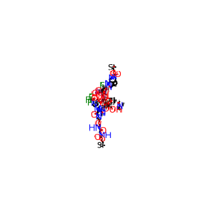 CC(C)(O[P@@](=S)(OC[C@H]1O[C@@H](N2C=C3CCC4=C3C(=N2)C=NN(C(=O)OCC[Si](C)(C)C)C4)[C@H](F)[C@@H]1O[PH](=O)O)O[C@@H]1[C@H](O[Si](C)(C)C(C)(C)C)[C@@H](CO)O[C@H]1n1cnc2c(=O)n(CCOCNC(=O)CNC(=O)OCC[Si](C)(C)C)cnc21)[C@H]1CCCN1C(=O)C(F)(F)F.CCN(CC)CC